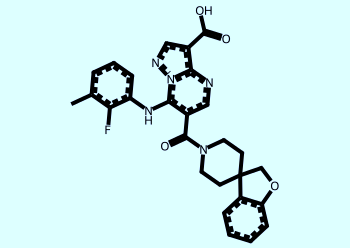 Cc1cccc(Nc2c(C(=O)N3CCC4(CC3)COc3ccccc34)cnc3c(C(=O)O)cnn23)c1F